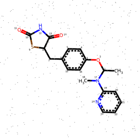 CC(Oc1ccc(CC2SC(=O)NC2=O)cc1)N(C)c1ccccn1